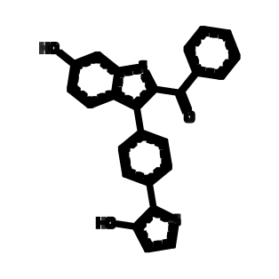 O=C(c1ccccc1)c1sc2cc(O)ccc2c1-c1ccc(-c2sccc2O)cc1